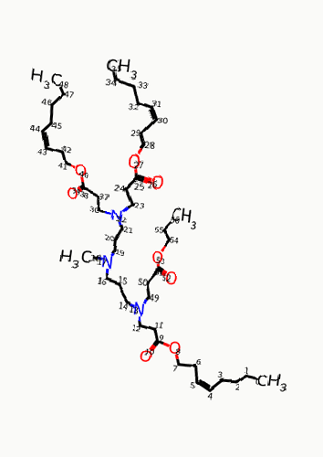 CCCC/C=C\CCOC(=O)CCN(CCCN(C)CCCN(CCC(=O)OCC/C=C\CCCC)CCC(=O)OCC/C=C\CCCC)CCC(=O)OCCC